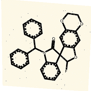 O=C1N(C(c2ccccc2)c2ccccc2)c2ccccc2C12c1cc3c(cc1OC2F)OCCO3